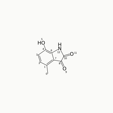 Cc1ccc(O)c2c1C(=O)C(=O)N2